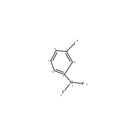 FN(F)c1cccc(I)c1